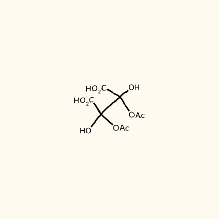 CC(=O)OC(O)(C(=O)O)C(O)(OC(C)=O)C(=O)O